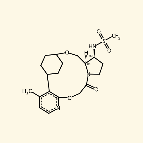 Cc1ccnc2c1C1CCC(CC1)OC[C@H]1[C@@H](NS(=O)(=O)C(F)(F)F)CCN1C(=O)CO2